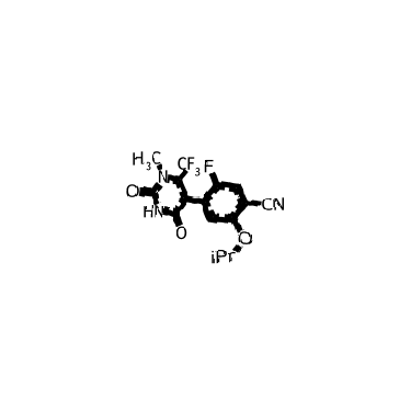 CC(C)Oc1cc(-c2c(C(F)(F)F)n(C)c(=O)[nH]c2=O)c(F)cc1C#N